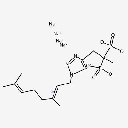 CC(C)=CCC/C(C)=C/Cn1cc(CC(C)(P(=O)([O-])[O-])P(=O)([O-])[O-])nn1.[Na+].[Na+].[Na+].[Na+]